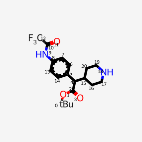 CC(C)(C)OC(=O)C(c1ccc(NC(=O)C(F)(F)F)cc1)C1CCNCC1